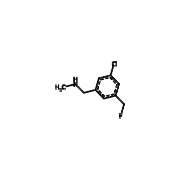 CNCc1cc(Cl)cc(CF)c1